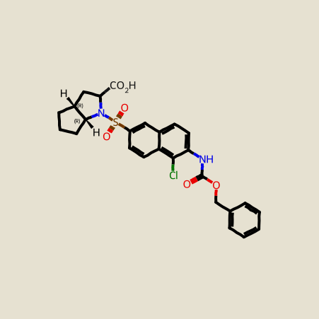 O=C(Nc1ccc2cc(S(=O)(=O)N3C(C(=O)O)C[C@H]4CCC[C@H]43)ccc2c1Cl)OCc1ccccc1